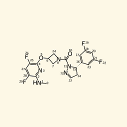 CNc1nc(OC2CN(C(=O)N3N=CC[C@H]3c3cc(F)cc(F)c3)C2)c(F)cc1F